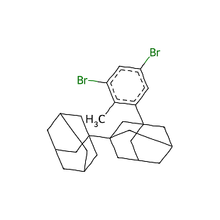 Cc1c(Br)cc(Br)cc1C12CC3CC(C1)CC(C14CC5CC(CC(C5)C1)C4)(C3)C2